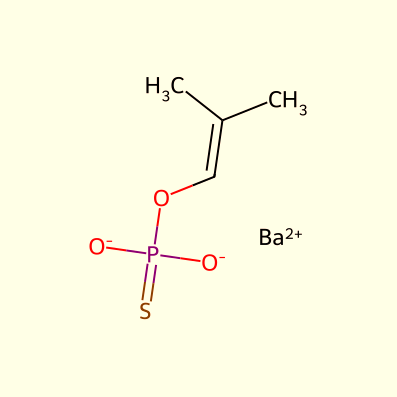 CC(C)=COP([O-])([O-])=S.[Ba+2]